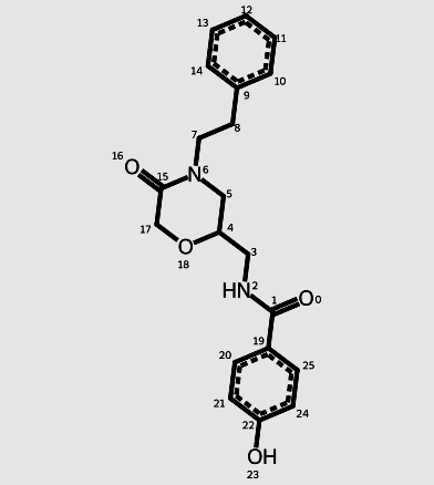 O=C(NCC1CN(CCc2ccccc2)C(=O)CO1)c1ccc(O)cc1